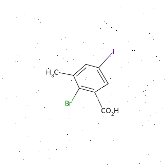 Cc1cc(I)cc(C(=O)O)c1Br